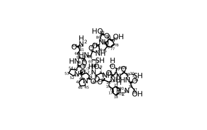 CC[C@H](C)[C@H](NC(=O)[C@H](CO)NC(=O)[C@H](Cc1ccccc1)NC(=O)[C@@H](NC(=O)[C@H](CS)NC(=O)[C@@H](N)CO)[C@@H](C)O)C(=O)N1CCC[C@H]1C(=O)N1CCC[C@H]1C(=O)N[C@@H](CCC(N)=O)C(=O)N[C@@H](CS)C(=O)N[C@@H](Cc1ccc(O)cc1)C(=O)NCC(=O)O